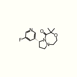 CC1(C)OCCN2CC[C@H](c3cncc(F)c3)N2C1=O